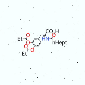 CCCCCCCC(=O)N[C@@H](Cc1ccc(OC(=O)CC)c(OC(=O)CC)c1)C(=O)O